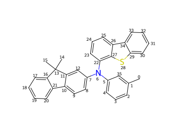 Cc1cccc(N(c2ccc3c(c2)C(C)(C)c2ccccc2-3)c2cccc3c2sc2ccccc23)c1